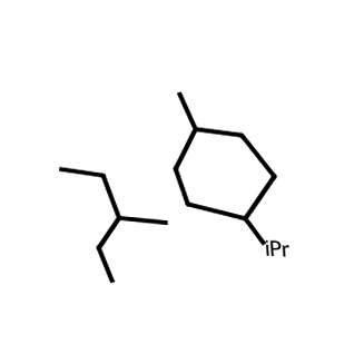 CC1CCC(C(C)C)CC1.CCC(C)CC